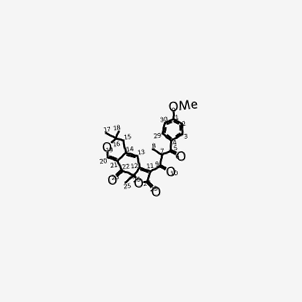 COc1ccc(C(=O)C(C)C(=O)C2=C3C=C4CC(C)(C)OC=C4C(=O)C3(C)OC2=O)cc1